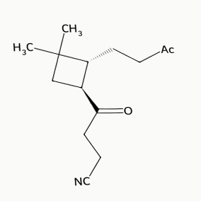 CC(=O)CC[C@@H]1[C@@H](C(=O)CCC#N)CC1(C)C